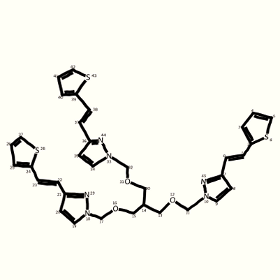 C(=C\c1cccs1)/c1ccn(COCC(COCn2ccc(/C=C/c3cccs3)n2)COCn2ccc(/C=C/c3cccs3)n2)n1